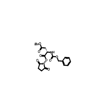 CC(C)COC(=O)C[C@H](NC(=O)OCc1ccccc1)C(=O)ON1C(=O)CCC1=O